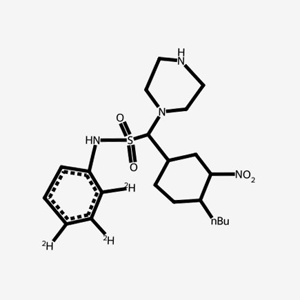 [2H]c1ccc(NS(=O)(=O)C(C2CCC(CCCC)C([N+](=O)[O-])C2)N2CCNCC2)c([2H])c1[2H]